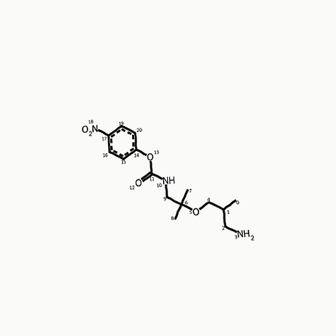 CC(CN)COC(C)(C)CNC(=O)Oc1ccc([N+](=O)[O-])cc1